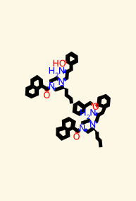 CCCC[C@H]1CN(C(=O)c2cccc3ccccc23)CCN1CC(N)Cc1ccccc1O.CCCC[C@H]1CN(C(=O)c2cccc3ccccc23)CCN1CC(N)Cc1ccccc1OCc1ccccc1